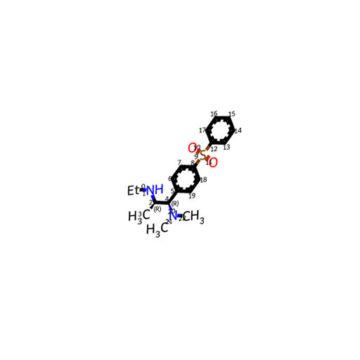 CCN[C@H](C)[C@@H](c1ccc(S(=O)(=O)c2ccccc2)cc1)N(C)C